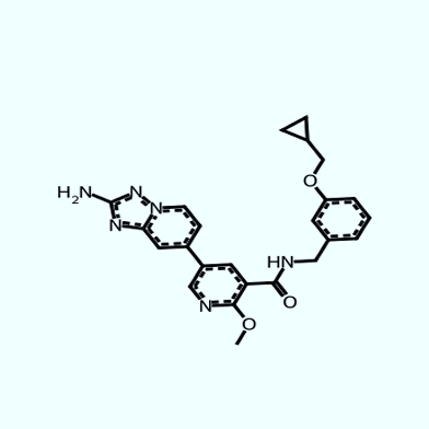 COc1ncc(-c2ccn3nc(N)nc3c2)cc1C(=O)NCc1cccc(OCC2CC2)c1